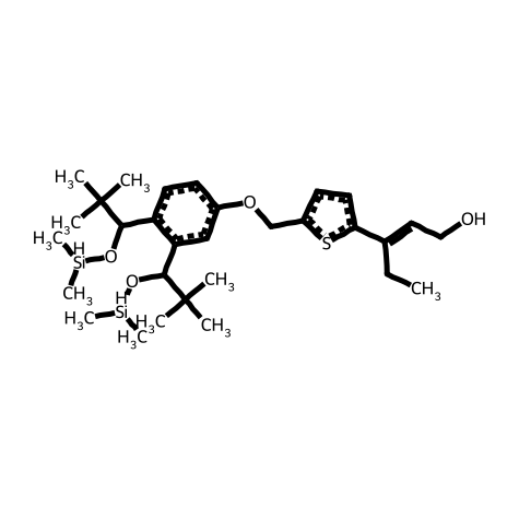 CCC(=CCO)c1ccc(COc2ccc(C(O[SiH](C)C)C(C)(C)C)c(C(O[SiH](C)C)C(C)(C)C)c2)s1